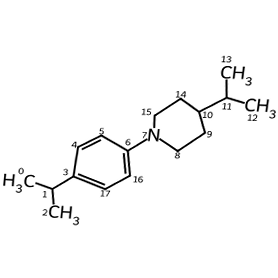 CC(C)c1ccc(N2CCC(C(C)C)CC2)cc1